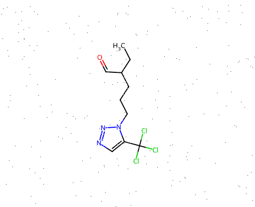 CCC(C=O)CCCn1nncc1C(Cl)(Cl)Cl